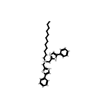 CCCCCCCCCCCCN(Cc1ncc(-c2ccccc2)o1)Cc1ncc(-c2ccccc2)o1